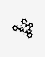 O=C(C1CCCN1c1nc2c(c(Nc3cc(C4CCCCC4)[nH]n3)n1)CCCC2)N1CCCCC1